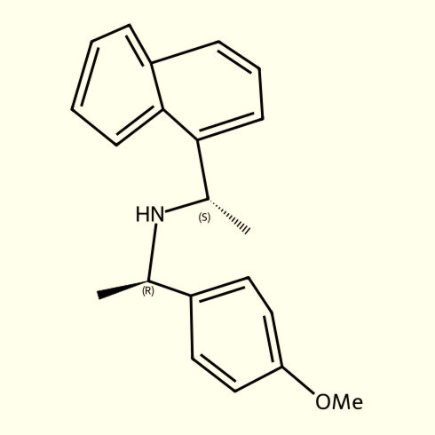 COc1ccc([C@@H](C)N[C@@H](C)c2cccc3ccccc23)cc1